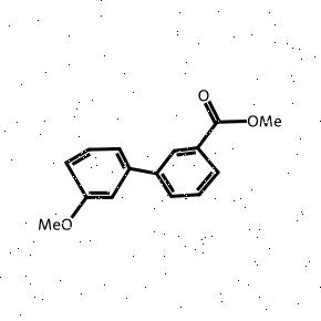 COC(=O)c1cccc(-c2cccc(OC)c2)c1